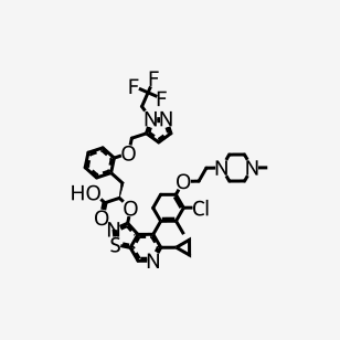 CC1=C(c2c(C3CC3)ncc3snc(O[C@H](Cc4ccccc4OCc4ccnn4CC(F)(F)F)C(=O)O)c23)CCC(OCCN2CCN(C)CC2)=C1Cl